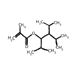 C=C(C)C(=O)OC(C(C)C)C(C(C)C)C(C)C